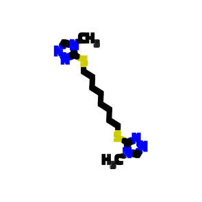 Cn1cnnc1SCCCCCCCCSc1nncn1C